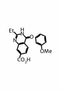 CCc1nc2cc(C(=O)O)ccc2c(=O)[nH]1.COc1ccccc1